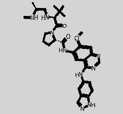 CN[C@@H](C)CN[C@H](C(=O)N1CCC[C@H]1C(=O)Nc1cc2c(Nc3ccc4[nH]ncc4c3)ncnc2cc1OC)C(C)(C)C